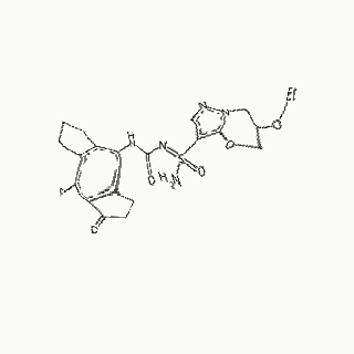 CCOC1COc2c(S(N)(=O)=NC(=O)Nc3c4c(c(F)c5c3CCC5=O)CCC4)cnn2C1